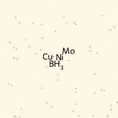 B.[Cu].[Mo].[Ni]